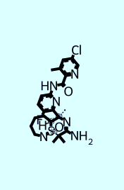 Cc1cc(Cl)cnc1C(=O)Nc1ccc(F)c([C@@]2(C)N=C(N)C(C)(C)[S@]3(=O)=NCCCC[C@@H]23)n1